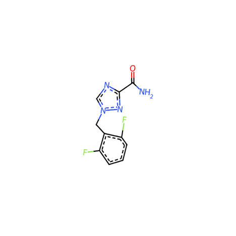 NC(=O)c1ncn(Cc2c(F)cccc2F)n1